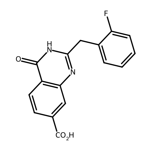 O=C(O)c1ccc2c(=O)[nH]c(Cc3ccccc3F)nc2c1